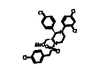 COC[C@@H]1[C@H](c2ccc(Cl)cc2)N(c2ccc(Cl)cc2Cl)CCN1S(=O)(=O)Cc1ccc(Cl)cc1